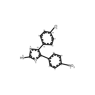 O=[N+]([O-])c1ccc(-c2oc(S)nc2-c2ccc(Cl)cc2)cc1